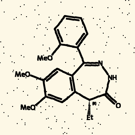 CC[C@H]1C(=O)NN=C(c2ccccc2OC)c2cc(OC)c(OC)cc21